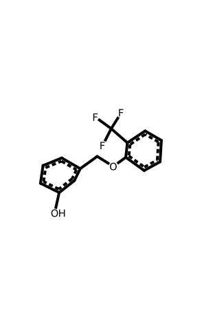 Oc1cccc(COc2ccccc2C(F)(F)F)c1